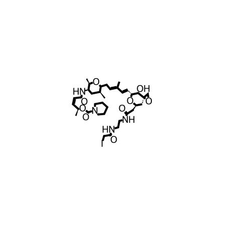 CC(/C=C/[C@H]1O[C@H](CC(=O)NCCNC(=O)CI)C[C@@]2(CO2)[C@@H]1O)=C\CC1O[C@H](C)[C@H](NC(=O)/C=C\[C@H](C)OC(=O)N2CCCCC2)C[C@@H]1C